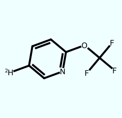 [2H]c1ccc(OC(F)(F)F)nc1